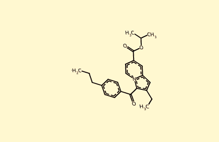 [CH2]CCc1ccc(C(=O)c2c(CC)cc3cc(C(=O)OC(C)C)ccn23)cc1